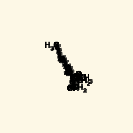 C=C(C)C(=O)OCC(CCOC(=O)C(=C)CO)c1ccc2c(c1)CCC(CCc1ccc(CCCCCCC)cc1)C2